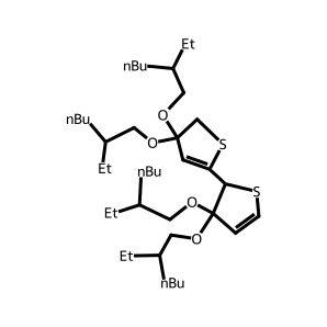 CCCCC(CC)COC1(OCC(CC)CCCC)C=C(C2SC=CC2(OCC(CC)CCCC)OCC(CC)CCCC)SC1